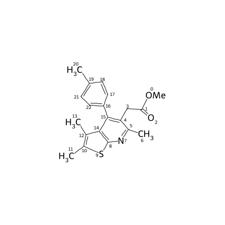 COC(=O)Cc1c(C)nc2sc(C)c(C)c2c1-c1ccc(C)cc1